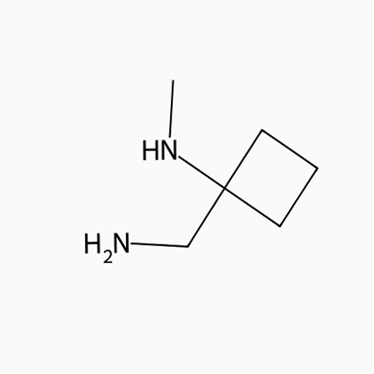 CNC1(CN)CCC1